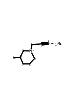 CC[C@@H](C)C#CCN1CCCC(C)C1